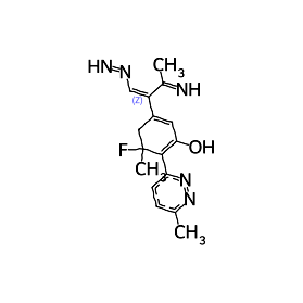 CC(=N)/C(=C\N=N)C1=CC(O)=C(c2ccc(C)nn2)C(C)(F)C1